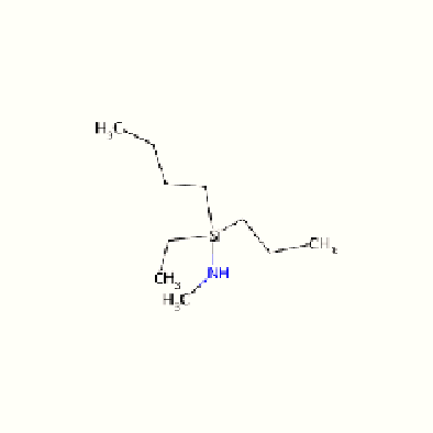 CCCC[Si](CC)(CCC)NC